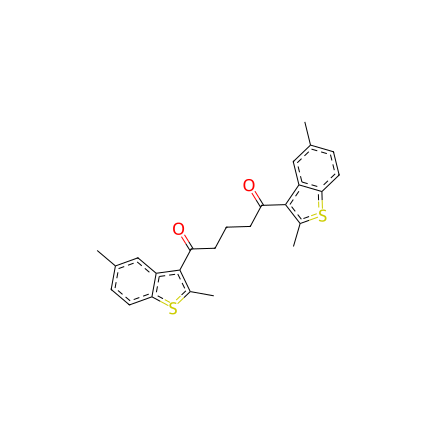 Cc1ccc2sc(C)c(C(=O)CCCC(=O)c3c(C)sc4ccc(C)cc34)c2c1